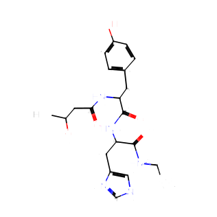 CC(O)CC(=O)NC(Cc1ccc(O)cc1)C(=O)NC(Cc1c[nH]cn1)C(=O)NCC(=O)O